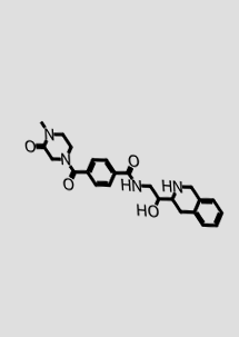 CN1CCN(C(=O)c2ccc(C(=O)NCC(O)C3Cc4ccccc4CN3)cc2)CC1=O